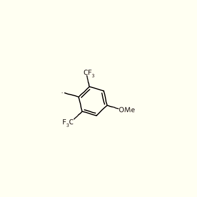 [CH2]c1c(C(F)(F)F)cc(OC)cc1C(F)(F)F